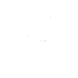 CC(F)(F)CCC(C)(C)[CH]c1ccccc1